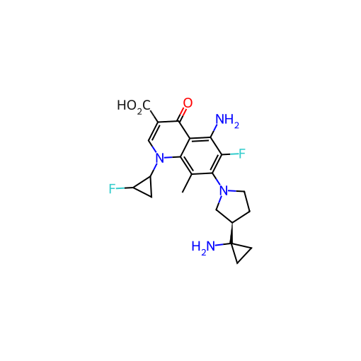 Cc1c(N2CC[C@@H](C3(N)CC3)C2)c(F)c(N)c2c(=O)c(C(=O)O)cn(C3CC3F)c12